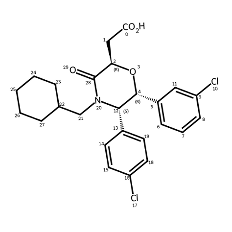 O=C(O)C[C@H]1O[C@H](c2cccc(Cl)c2)[C@H](c2ccc(Cl)cc2)N(CC2CCCCC2)C1=O